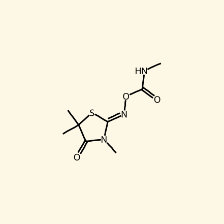 CNC(=O)O/N=C1\SC(C)(C)C(=O)N1C